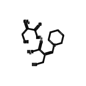 C=C(CO)C(N)=O.NC(=O)C(=CN1CCCCC1)CO